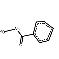 O=C(NO)c1[c]cccc1